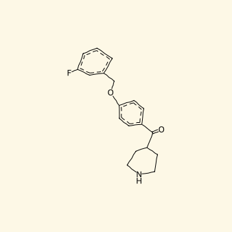 O=C(c1ccc(OCc2cccc(F)c2)cc1)C1CCNCC1